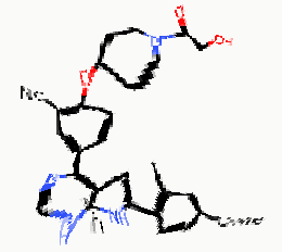 COc1ccc(C2=CC3=C(c4ccc(OC5CCN(C(=O)CO)CC5)c(C#N)c4)N=CN[C@@H]3N2)c(C)c1